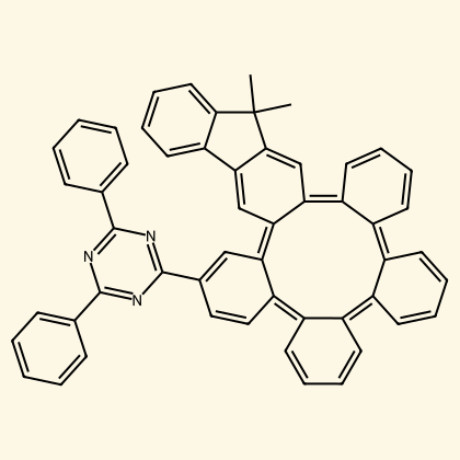 CC1(C)c2ccccc2-c2cc3c4cc(-c5nc(-c6ccccc6)nc(-c6ccccc6)n5)ccc4c4ccccc4c4ccccc4c4ccccc4c3cc21